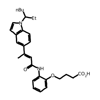 CCCCC(CC)n1ccc2cc(/C(C)=C/C(=O)Nc3ccccc3OCCCC(=O)O)ccc21